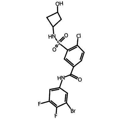 O=C(Nc1cc(F)c(F)c(Br)c1)c1ccc(Cl)c(S(=O)(=O)NC2CC(O)C2)c1